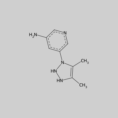 CC1=C(C)N(c2cncc(N)c2)NN1